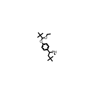 CCOC(Oc1ccc(C(CC(C)(C)C)PC)cc1)C(C)(C)C